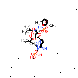 COC(=O)[C@H](C)N[P@](=O)(OC[C@@]1(C#N)O[C@@H](c2ccc3c(=N)n(COP(=O)(O)O)cnn23)[C@H](OC(=O)C(C)C)[C@@H]1OC(=O)C(C)C)Oc1ccccc1